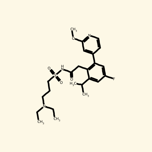 CCN(CC)CCCS(=O)(=O)NC(=O)Cc1c(-c2ccnc(OC)c2)cc(F)cc1C(C)C